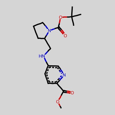 COC(=O)c1ccc(NCC2CCCN2C(=O)OC(C)(C)C)cn1